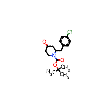 CC(C)(C)OC(=O)N1CCC(=O)CC1Cc1ccc(Cl)cc1